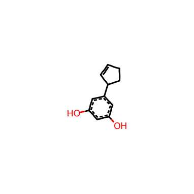 Oc1cc(O)cc(C2C=CCC2)c1